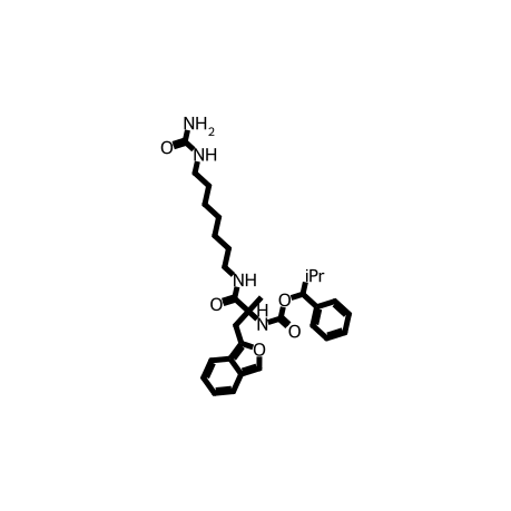 CC(C)C(OC(=O)NC(C)(Cc1occ2ccccc12)C(=O)NCCCCCCCNC(N)=O)c1ccccc1